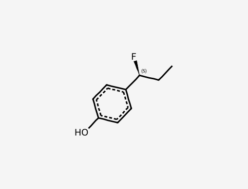 CC[C@H](F)c1ccc(O)cc1